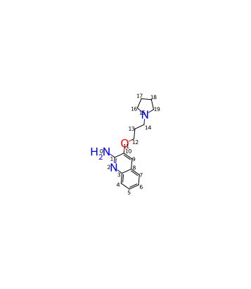 Nc1nc2ccccc2cc1OCCCN1CCCC1